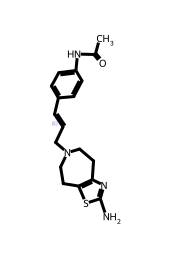 CC(=O)Nc1ccc(/C=C/CN2CCc3nc(N)sc3CC2)cc1